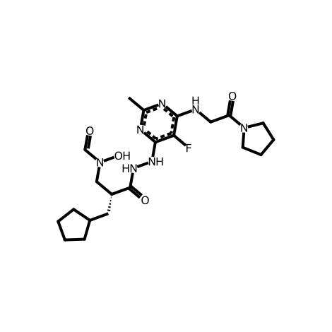 Cc1nc(NCC(=O)N2CCCC2)c(F)c(NNC(=O)[C@H](CC2CCCC2)CN(O)C=O)n1